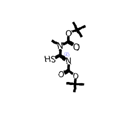 CN(C(=O)OC(C)(C)C)/C(S)=N/C(=O)OC(C)(C)C